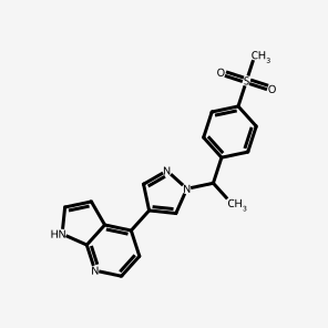 CC(c1ccc(S(C)(=O)=O)cc1)n1cc(-c2ccnc3[nH]ccc23)cn1